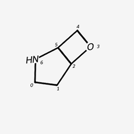 C1CC2OCC2N1